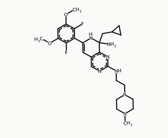 COc1cc(OC)c(F)c(C2=Cc3cnc(NCCN4CCN(C)CC4)nc3C(N)(CC3CC3)N2)c1F